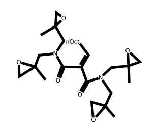 CCCCCCCCC=C(C(=O)N(CC1(C)CO1)CC1(C)CO1)C(=O)N(CC1(C)CO1)CC1(C)CO1